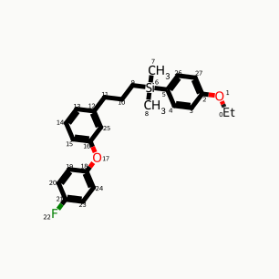 CCOc1ccc([Si](C)(C)CCCc2cccc(Oc3ccc(F)cc3)c2)cc1